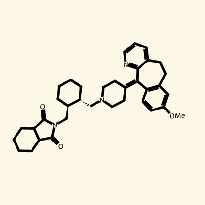 COc1ccc2c(c1)CCc1cccnc1C2=C1CCN(C[C@H]2CCCC[C@@H]2CN2C(=O)C3CCCCC3C2=O)CC1